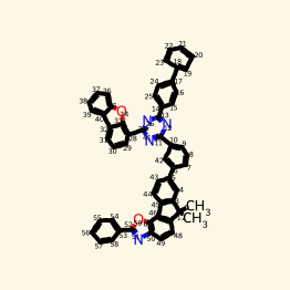 CC1(C)c2cc(-c3cccc(-c4nc(-c5ccc(-c6ccccc6)cc5)nc(-c5cccc6c5oc5ccccc56)n4)c3)ccc2-c2c1ccc1nc(-c3ccccc3)oc21